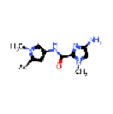 CC(=O)c1cc(NC(=O)c2nc(N)cn2C)cn1C